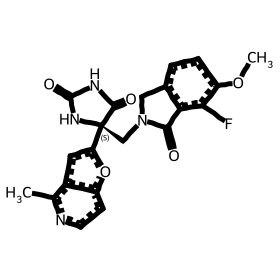 COc1ccc2c(c1F)C(=O)N(C[C@@]1(c3cc4c(C)nccc4o3)NC(=O)NC1=O)C2